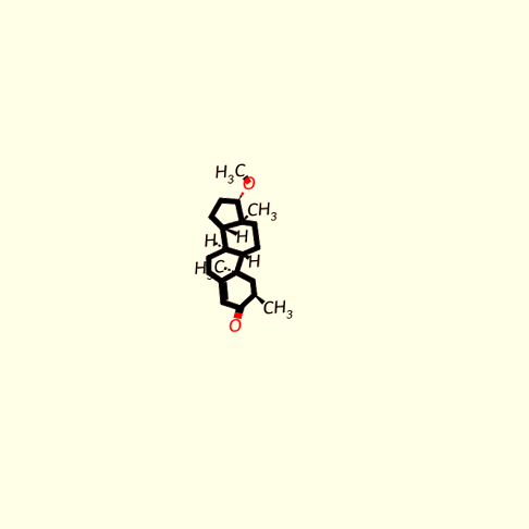 CO[C@H]1CC[C@H]2[C@@H]3CCC4=CC(=O)[C@H](C)C[C@]4(C)[C@H]3CC[C@]12C